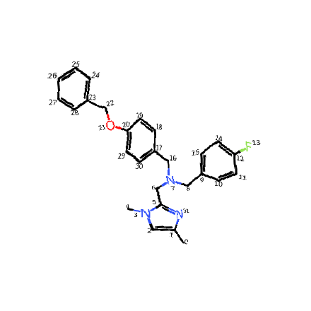 Cc1cn(C)c(CN(Cc2ccc(F)cc2)Cc2ccc(OCc3ccccc3)cc2)n1